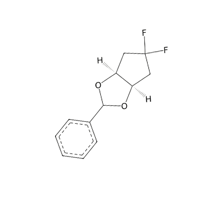 FC1(F)C[C@@H]2OC(c3ccccc3)O[C@@H]2C1